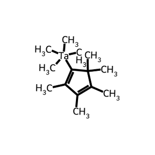 CC1=C(C)C(C)(C)[C]([Ta]([CH3])([CH3])([CH3])[CH3])=C1C